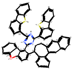 c1ccc2c(c1)-c1cc3ccccc3cc1CCC2c1ccc2oc3ccccc3c2c1-c1nc(-c2cccc3c2sc2ccccc23)nc(-c2cccc3c2sc2ccccc23)n1